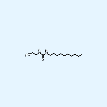 CCCCCCCCCCNC(=S)NCCO